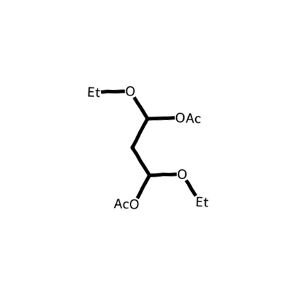 CCOC(CC(OCC)OC(C)=O)OC(C)=O